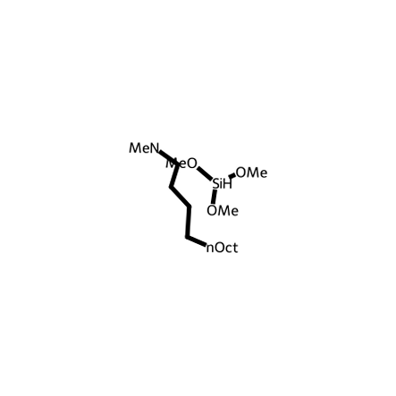 CCCCCCCCCCCCNC.CO[SiH](OC)OC